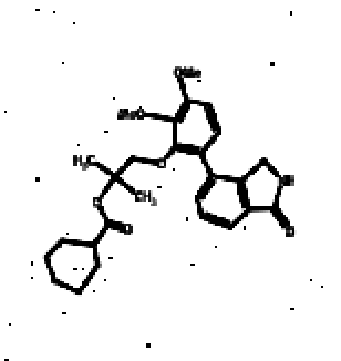 COc1ccc(-c2cccc3c2CNC3=O)c(OCC(C)(C)OC(=O)C2CCCCC2)c1OC